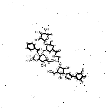 CCC[C@H](OC1C(OC(=O)c2ccccc2)[C@H](O[C@@H]2CC(C(=O)NCCO[C@H]3OC(CO)[C@@H](O)C(n4cc(-c5cc(F)c(F)c(F)c5)nn4)C3O)CC(C)C2O[C@@H]2OC(C)[C@@H](O)C(O)C2O)OC(CO)[C@@H]1O)C(=O)O